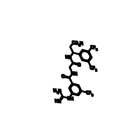 N=C(N)Nc1cc(C(=O)NCC(=O)NC(CC(=O)O)c2cc(C(F)(F)F)cc(C(F)(F)F)c2)cc(C(F)(F)F)c1